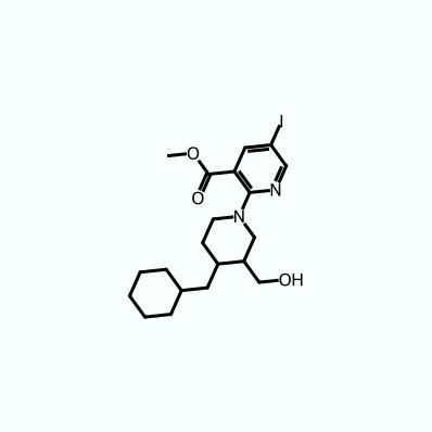 COC(=O)c1cc(I)cnc1N1CCC(CC2CCCCC2)C(CO)C1